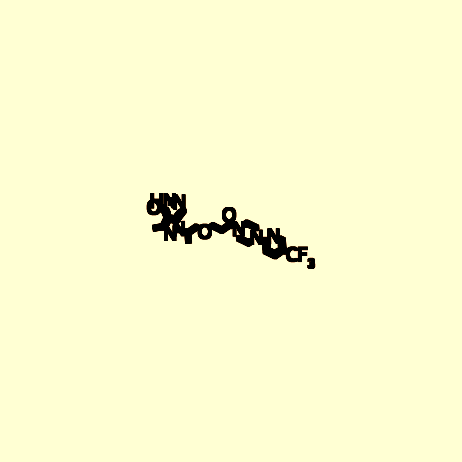 Cc1nn(C(C)COCCC(=O)N2CCN(c3ccc(C(F)(F)F)cn3)CC2)c2cn[nH]c(=O)c12